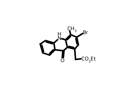 CCOC(=O)Cc1cc(Br)c(C)c2[nH]c3ccccc3c(=O)c12